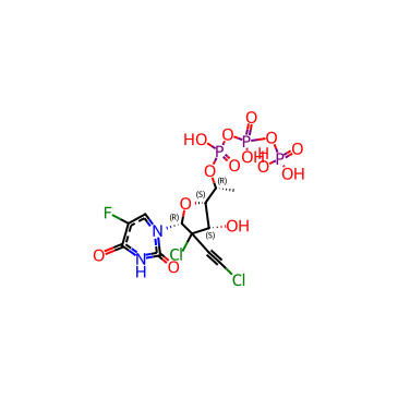 C[C@@H](OP(=O)(O)OP(=O)(O)OP(=O)(O)O)[C@H]1O[C@@H](n2cc(F)c(=O)[nH]c2=O)C(Cl)(C#CCl)[C@H]1O